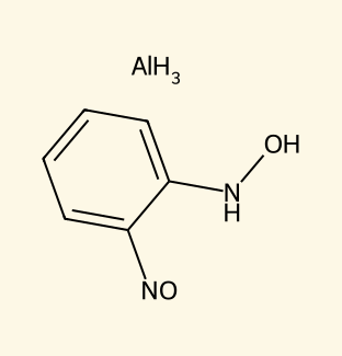 O=Nc1ccccc1NO.[AlH3]